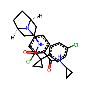 O=C(NC1CC1)c1ccc(N2[C@@H]3CC[C@H]2C[C@@H](NC(=O)C2(c4ccc(Cl)cc4)CC2)C3)cc1Cl